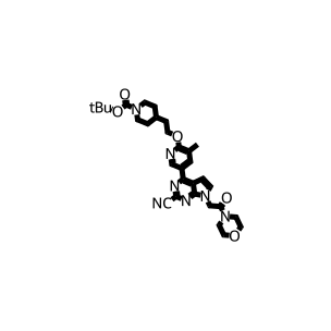 Cc1cc(-c2nc(C#N)nc3c2ccn3CC(=O)N2CCOCC2)cnc1OCCC1CCN(C(=O)OC(C)(C)C)CC1